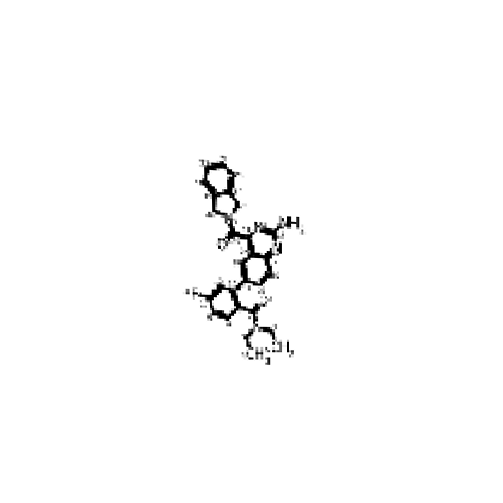 CCN(CC)C(=O)c1ccc(F)cc1-c1ccc2nc(N)nc(C(=O)N3Cc4ccccc4C3)c2c1